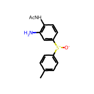 CC(=O)Nc1ccc([S+]([O-])c2ccc(C)cc2)cc1N